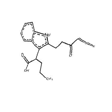 CCCC(C(=O)O)c1c(CCC(=O)C=[N+]=[N-])[nH]c2ccccc12